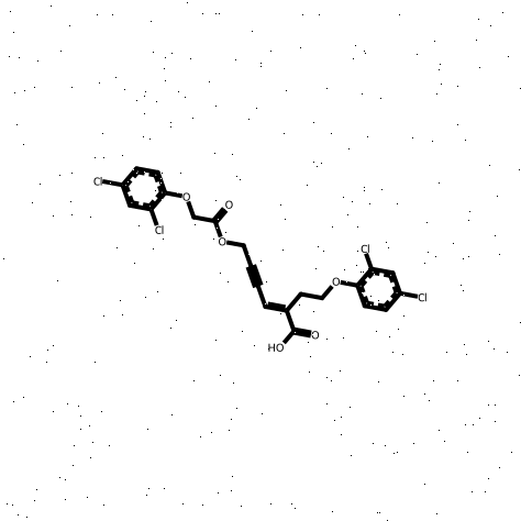 O=C(COc1ccc(Cl)cc1Cl)OCC#C/C=C(\CCOc1ccc(Cl)cc1Cl)C(=O)O